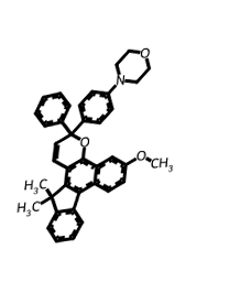 COc1ccc2c3c(c4c(c2c1)OC(c1ccccc1)(c1ccc(N2CCOCC2)cc1)C=C4)C(C)(C)c1ccccc1-3